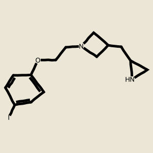 Ic1ccc(OCCN2CC(CC3CN3)C2)cc1